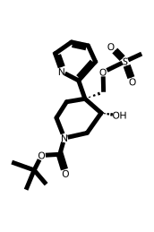 CC(C)(C)OC(=O)N1CC[C@@](COS(C)(=O)=O)(c2ccccn2)[C@H](O)C1